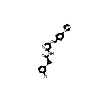 O=C(Nc1cc(OCc2ccc(-n3ccnc3)cc2)cnn1)C1C[C@@H]1c1cccc(Cl)c1